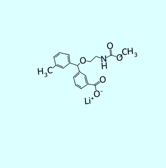 COC(=O)NCCOC(c1cccc(C)c1)c1cccc(C(=O)[O-])c1.[Li+]